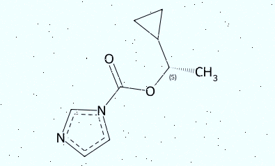 C[C@H](OC(=O)n1ccnc1)C1CC1